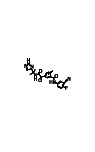 Cn1cc(C(=O)C(=O)NC(C)(C)c2cn[nH]n2)cc1C(=O)Nc1ccc(F)c(C#N)c1